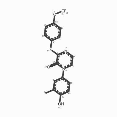 Cc1cc(-n2ccnc(Sc3ccc(OC(F)(F)F)cc3)c2=O)ccc1O